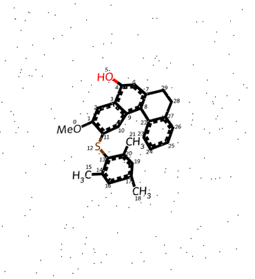 COc1cc2c(O)cc3c(c2cc1Sc1c(C)cc(C)cc1C)-c1ccccc1CC3